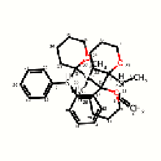 C=C[SiH](C)C1(C2([Si](C)(C)C3([SiH](c4ccccc4)c4ccccc4)CCCCO3)CCCCO2)CCCCO1